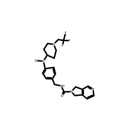 O=C(NCc1ccc([S+]([O-])C2CCN(CC(F)(F)F)CC2)cc1)N1Cc2ccncc2C1